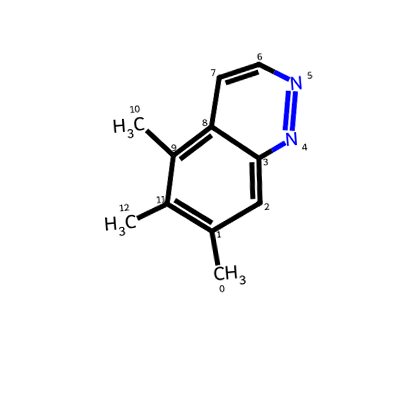 Cc1cc2nnccc2c(C)c1C